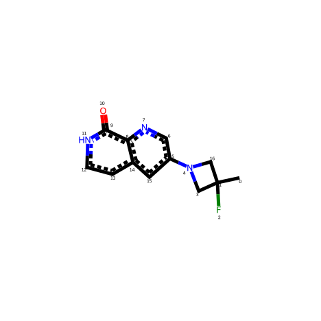 CC1(F)CN(c2cnc3c(=O)[nH]ccc3c2)C1